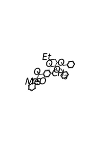 CC[C@@H]1C[C@H](OCc2ccccc2)[C@@H](OCc2ccccc2)[C@H](c2cc(C(=O)c3cc4ccccc4s3)c(OC)cc2C)O1